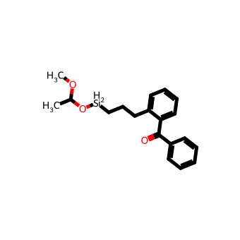 COC(C)O[SiH2]CCCc1ccccc1C(=O)c1ccccc1